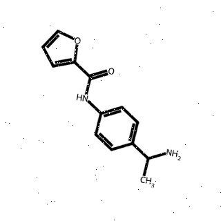 CC(N)c1ccc(NC(=O)c2ccco2)cc1